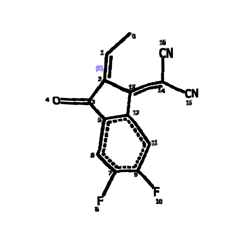 C/C=C1/C(=O)c2cc(F)c(F)cc2C1=C(C#N)C#N